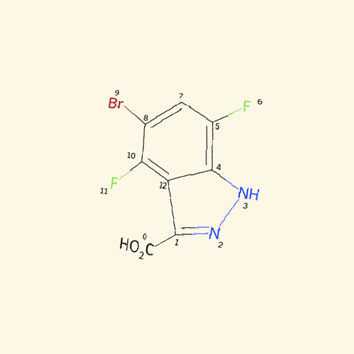 O=C(O)c1n[nH]c2c(F)cc(Br)c(F)c12